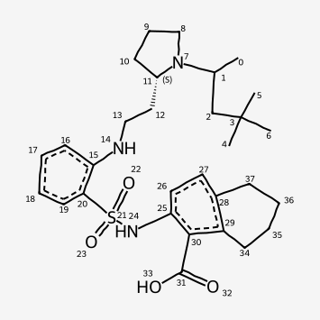 CC(CC(C)(C)C)N1CCC[C@H]1CCNc1ccccc1S(=O)(=O)Nc1ccc2c(c1C(=O)O)CCCC2